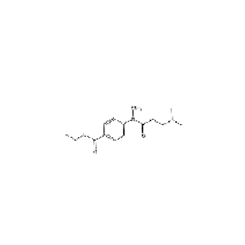 CCOC(=O)c1ccc(N([AsH2])C(=O)CCC(C)C)cc1